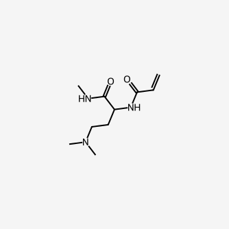 C=CC(=O)NC(CCN(C)C)C(=O)NC